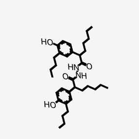 CCCCCC(C(=O)NNC(=O)C(CCCCC)c1ccc(O)c(CCCC)c1)c1ccc(O)c(CCCC)c1